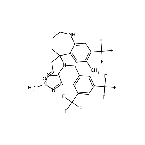 Cc1cc2c(cc1C(F)(F)F)NCCCC2(CC=O)N(Cc1cc(C(F)(F)F)cc(C(F)(F)F)c1)c1nnn(C)n1